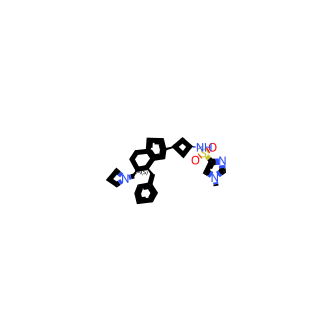 Cn1cnc(S(=O)(=O)N[C@H]2C[C@H](c3ccc4c(c3)[C@@H](Cc3ccccc3)[C@@H](CN3CCC3)CC4)C2)c1